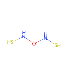 SNONS